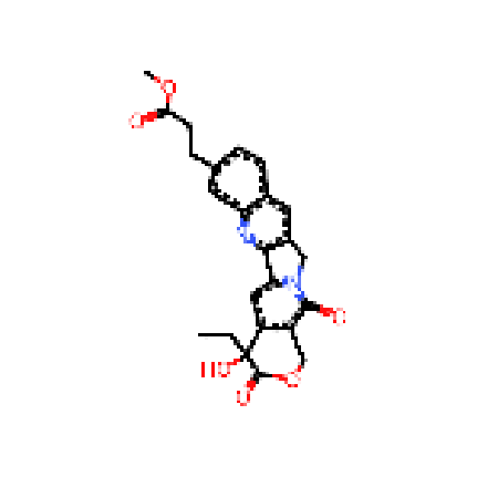 CCC1(O)C(=O)OCc2c1cc1n(c2=O)Cc2cc3ccc(CCC(=O)OC)cc3nc2-1